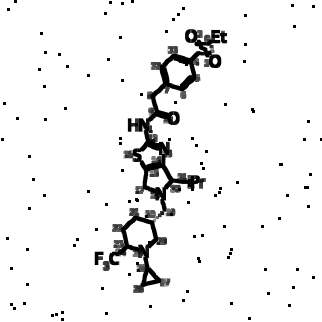 CCS(=O)(=O)c1ccc(CC(=O)Nc2nc3c(s2)CN(C[C@H]2CCC(C(F)(F)F)N(C4CC4)C2)C3C(C)C)cc1